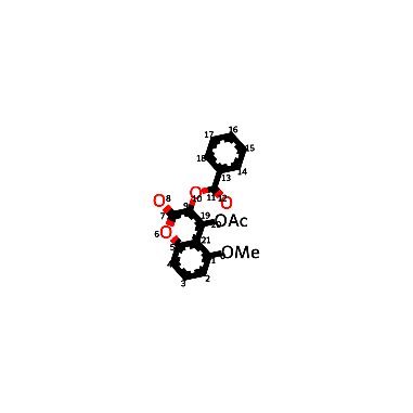 COc1cccc2oc(=O)c(OC(=O)c3ccccc3)c(OC(C)=O)c12